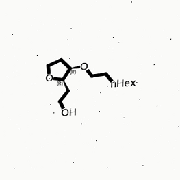 CCCCCCCCO[C@@H]1CCO[C@@H]1CCO